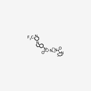 O=C(c1nccs1)N1CCN([C@@H]2CC(=O)N(c3ccc4c(ccn4-c4ccnc(C(F)(F)F)c4)c3)C2)CC1